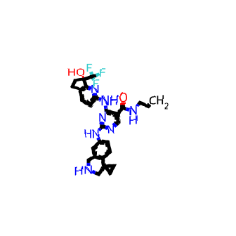 C=CCNC(=O)c1cnc(Nc2ccc3c(c2)CNCC32CC2)nc1Nc1ccc2c(n1)[C@@](O)(C(F)(F)F)CC2